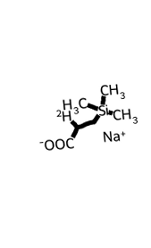 [2H]C(C[Si](C)(C)C)C(=O)[O-].[Na+]